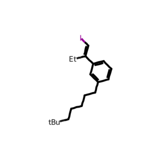 CC/C(=C\I)c1cccc(CCCCCC(C)(C)C)c1